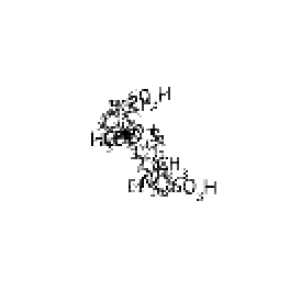 C=C(/C=C/C=C/C=C1/N(CC)c2ccc(S(=O)(=O)O)cc2C1(C)CCCCS(=O)(=O)O)C(C)(CCCCS(=O)(=O)O)c1cc(S(=O)(=O)O)ccc1C